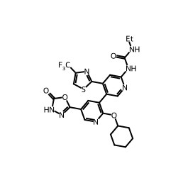 CCNC(=O)Nc1cc(-c2nc(C(F)(F)F)cs2)c(-c2cc(-c3n[nH]c(=O)o3)cnc2OC2CCCCC2)cn1